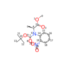 COC(=O)[C@H](C)N(C(=O)OC(C)(C)C)c1ccccc1[N+](=O)[O-]